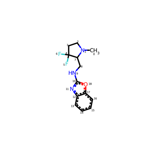 CN1CCC(F)(F)C1CNc1nc2ccccc2o1